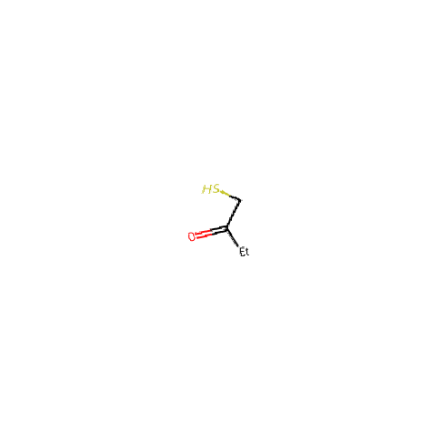 CCC(=O)CS